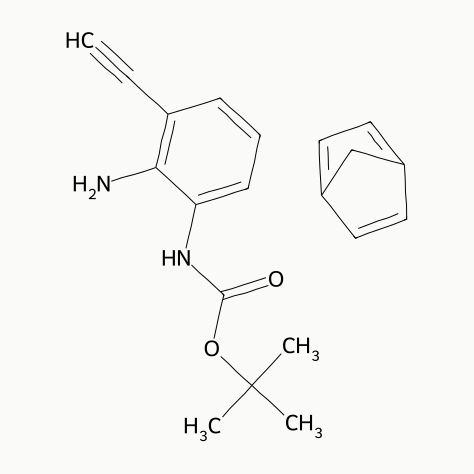 C#Cc1cccc(NC(=O)OC(C)(C)C)c1N.C1=CC2=CC=C1C2